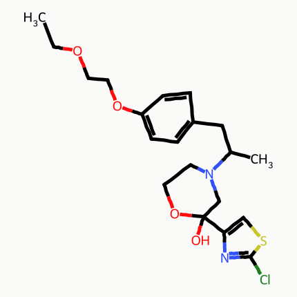 CCOCCOc1ccc(CC(C)N2CCOC(O)(c3csc(Cl)n3)C2)cc1